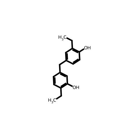 CCc1ccc(Cc2ccc(O)c(CC)c2)cc1O